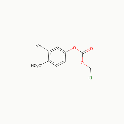 CCCc1cc(OC(=O)OCCl)ccc1C(=O)O